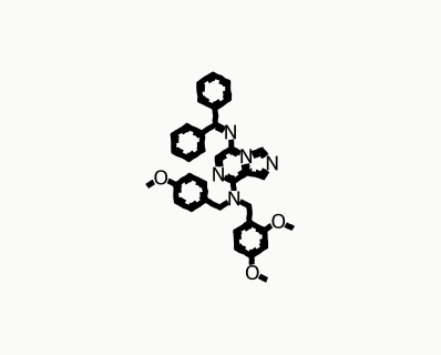 COc1ccc(CN(Cc2ccc(OC)cc2OC)c2ncc(N=C(c3ccccc3)c3ccccc3)n3cncc23)cc1